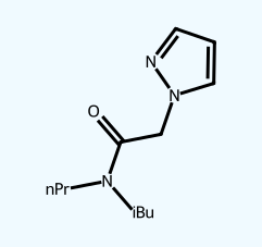 CCCN(C(=O)Cn1cccn1)C(C)CC